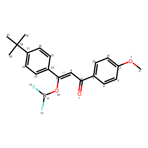 COc1ccc(C(=O)/C=C(\OB(F)F)c2ccc(C(C)(C)C)cc2)cc1